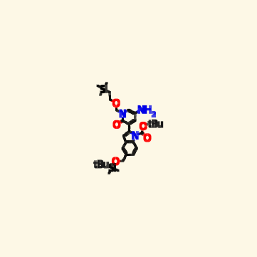 CC(C)(C)OC(=O)n1c(-c2cc(N)cn(COCC[Si](C)(C)C)c2=O)cc2cc(CO[Si](C)(C)C(C)(C)C)ccc21